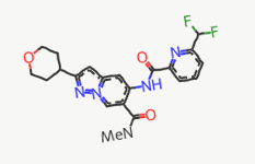 CNC(=O)c1cn2nc(C3CCOCC3)cc2cc1NC(=O)c1cccc(C(F)F)n1